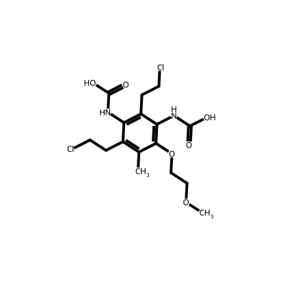 COCCOc1c(C)c(CCCl)c(NC(=O)O)c(CCCl)c1NC(=O)O